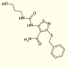 NC(=O)c1c(SCc2ccccc2)nsc1NC(=O)NCCCO